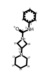 O=C(Nc1ccccc1)N1CC(N2CCCCC2)C1